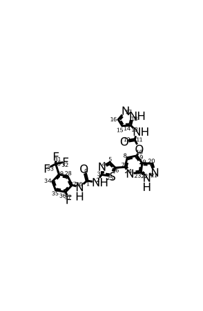 O=C(Nc1ncc(-c2cc(OC(=O)Nc3ccn[nH]3)c3cn[nH]c3n2)s1)Nc1cc(C(F)(F)F)ccc1F